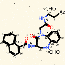 CC(=O)C[C@@H](C=O)NC(=O)CN1C(=O)C(NC(=O)c2cccc3ccccc23)CN(C=O)c2ccccc21